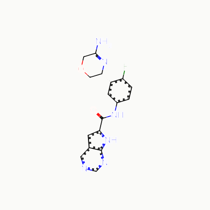 NC1=N[C@H](c2cc(NC(=O)c3cc4cncnc4[nH]3)ccc2F)COC1